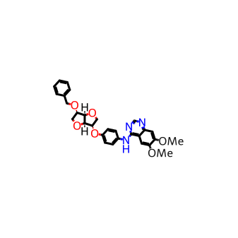 COc1cc2ncnc(Nc3ccc(O[C@H]4CO[C@H]5[C@@H]4OC[C@@H]5OCc4ccccc4)cc3)c2cc1OC